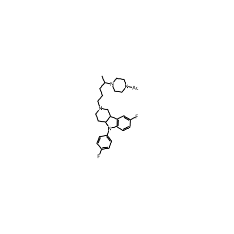 CC(=O)N1CCN(C(C)CCCN2CCC3C(C2)c2cc(F)ccc2N3c2ccc(F)cc2)CC1